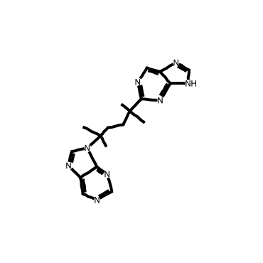 CC(C)(CCC(C)(C)n1cnc2cncnc21)c1ncc2nc[nH]c2n1